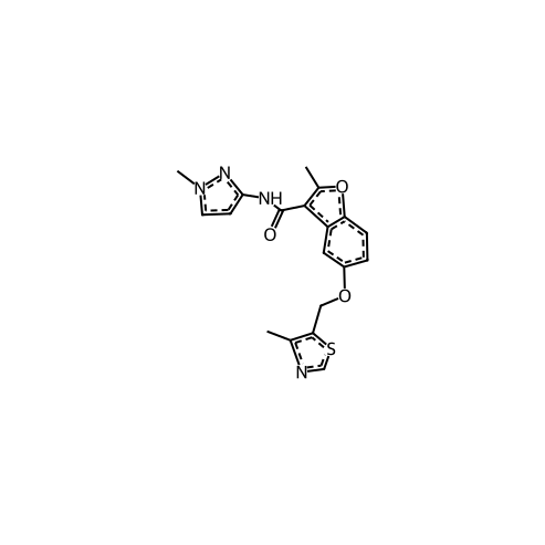 Cc1ncsc1COc1ccc2oc(C)c(C(=O)Nc3ccn(C)n3)c2c1